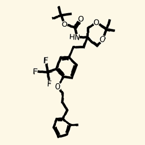 Cc1ccccc1CCCOc1ccc(CCC2(NC(=O)OC(C)(C)C)COC(C)(C)OC2)cc1C(F)(F)F